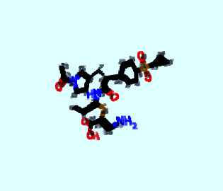 C/C=C(\NC(=O)[C@H](C[C@H]1CCN(C(C)=O)C1)C1=CCC(S(=O)(=O)C2CC2)C=C1)S/C(=C\N)C(=O)O